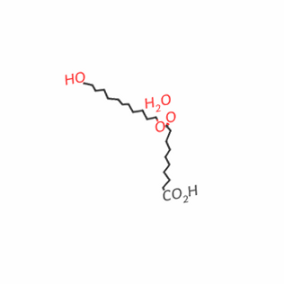 O.O=C(O)CCCCCCCCC(=O)OCCCCCCCCCCCCO